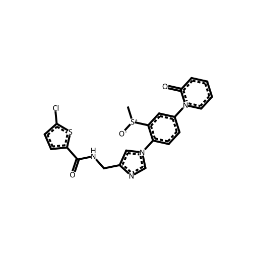 C[S+]([O-])c1cc(-n2ccccc2=O)ccc1-n1cnc(CNC(=O)c2ccc(Cl)s2)c1